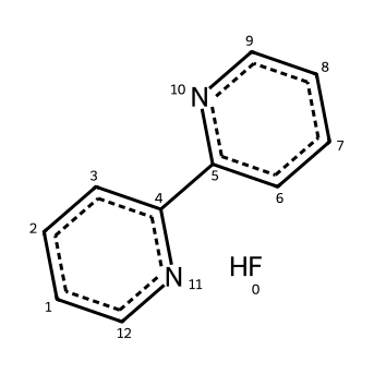 F.c1ccc(-c2ccccn2)nc1